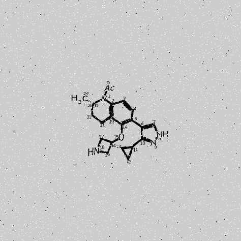 CC(=O)N1c2ccc(-c3c[nH]nc3C3CC3)c(OC3CNC3)c2CC[C@@H]1C